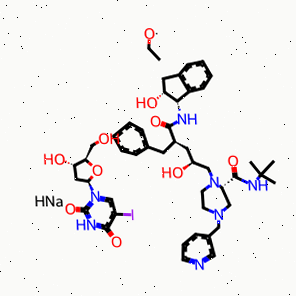 CC(C)(C)NC(=O)[C@@H]1CN(Cc2cccnc2)CCN1C[C@@H](O)C[C@@H](Cc1ccccc1)C(=O)N[C@H]1c2ccccc2C[C@H]1O.CC[O].O=c1[nH]c(=O)n([C@H]2C[C@H](O)[C@@H](CO)O2)cc1I.[NaH]